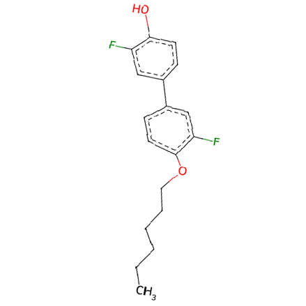 CCCCCCOc1ccc(-c2ccc(O)c(F)c2)cc1F